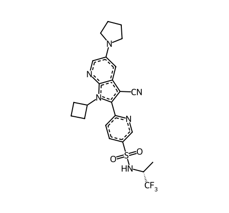 C[C@@H](NS(=O)(=O)c1ccc(-c2c(C#N)c3cc(N4CCCC4)cnc3n2C2CCC2)nc1)C(F)(F)F